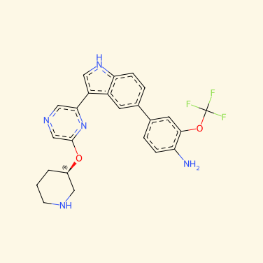 Nc1ccc(-c2ccc3[nH]cc(-c4cncc(O[C@@H]5CCCNC5)n4)c3c2)cc1OC(F)(F)F